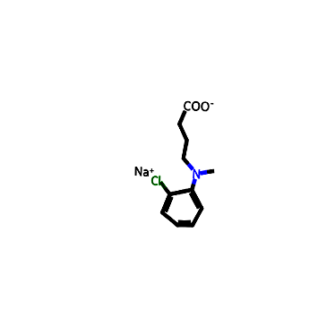 CN(CCCC(=O)[O-])c1ccccc1Cl.[Na+]